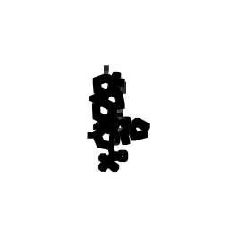 CC[Si](CC)(CC)O[C@H]1[C@H]2O[C@@H](C(=O)C(C)(C)C)C[C@@H](C)C2[C@@]2(C)CC[C@@]34CC35CC[C@H](C)C(C)(C)[C@@H]5CC[C@H]4[C@]12C